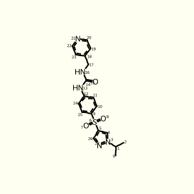 CC(C)n1cc(S(=O)(=O)c2ccc(NC(=O)NCc3ccncc3)cc2)cn1